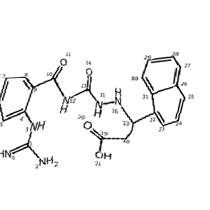 N=C(N)Nc1ccccc1C(=O)NC(=O)NNC(CC(=O)O)c1cccc2ccccc12